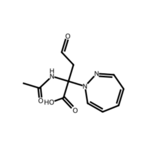 CC(=O)NC(CC=O)(C(=O)O)N1C=CC=CC=N1